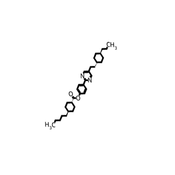 CCCCC[C@H]1CC[C@H](C(=O)Oc2ccc(-c3ncc(CC[C@H]4CC[C@H](CCC)CC4)cn3)cc2)CC1